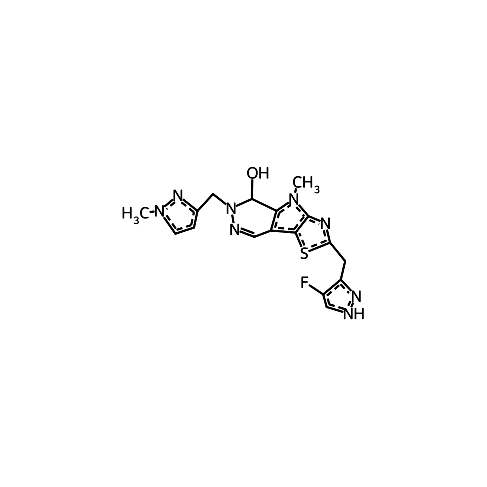 Cn1ccc(CN2N=Cc3c(n(C)c4nc(Cc5n[nH]cc5F)sc34)C2O)n1